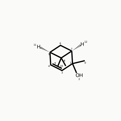 CC1(O)C=C[C@H]2C[C@@H]1C2(C)C